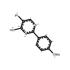 COc1ccc(-c2ncc(C(C)C)c(O)n2)cc1